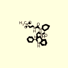 CS(=O)(=O)CCNC(=O)N[C@@H]1CCCC[C@@H]1C(=O)N1CC[C@@H]2[C@H](C3C=CC=CC3)Nc3ccccc3[C@@H]21